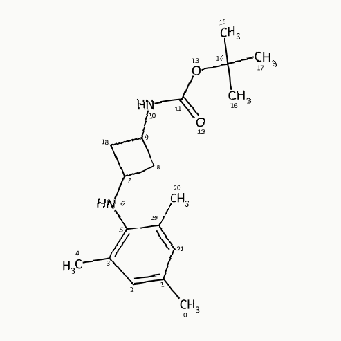 Cc1cc(C)c(NC2CC(NC(=O)OC(C)(C)C)C2)c(C)c1